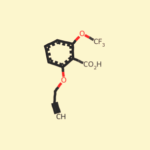 C#CCOc1cccc(OC(F)(F)F)c1C(=O)O